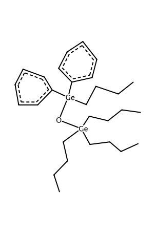 CCC[CH2][Ge]([CH2]CCC)([CH2]CCC)[O][Ge]([CH2]CCC)([c]1ccccc1)[c]1ccccc1